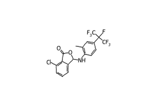 Cc1cc(C(F)(C(F)(F)F)C(F)(F)F)ccc1NC1OC(=O)c2c(Cl)cccc21